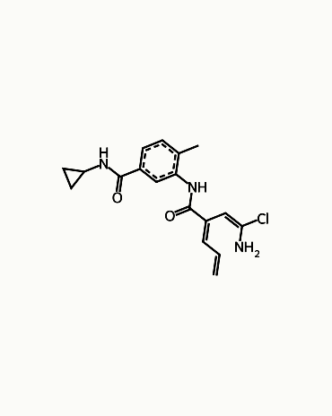 C=C/C=C(\C=C(/N)Cl)C(=O)Nc1cc(C(=O)NC2CC2)ccc1C